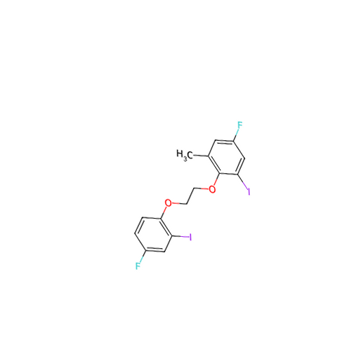 Cc1cc(F)cc(I)c1OCCOc1ccc(F)cc1I